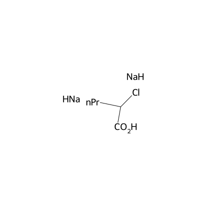 CCCC(Cl)C(=O)O.[NaH].[NaH]